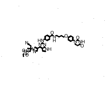 CCS(=O)(=O)N1CC(CC#N)(n2cc(-c3nc(Nc4ccc(C(=O)NCCCCOc5ccc(N6CCC(=O)NC6=O)cc5)cc4)nc4[nH]ccc34)cn2)C1